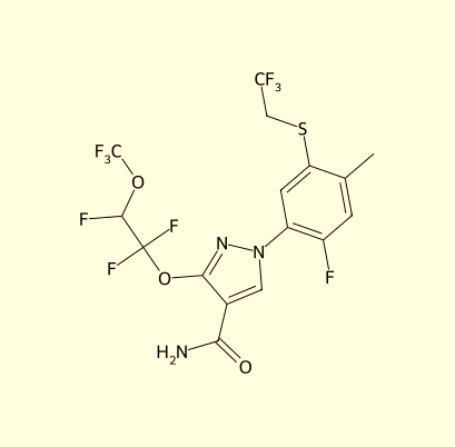 Cc1cc(F)c(-n2cc(C(N)=O)c(OC(F)(F)C(F)OC(F)(F)F)n2)cc1SCC(F)(F)F